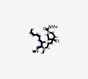 C=N/C=C(/C(C)=C/C=C\C=C/C)N(C)CCCC1(CC)CCN(C(=O)NC)CC1